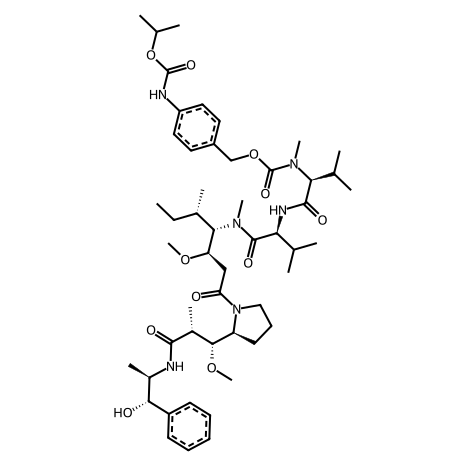 CC[C@H](C)[C@@H]([C@@H](CC(=O)N1CCC[C@H]1[C@H](OC)[C@@H](C)C(=O)N[C@H](C)[C@@H](O)c1ccccc1)OC)N(C)C(=O)[C@@H](NC(=O)[C@H](C(C)C)N(C)C(=O)OCc1ccc(NC(=O)OC(C)C)cc1)C(C)C